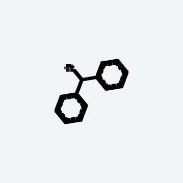 C[CH]C(c1ccccc1)c1ccccc1